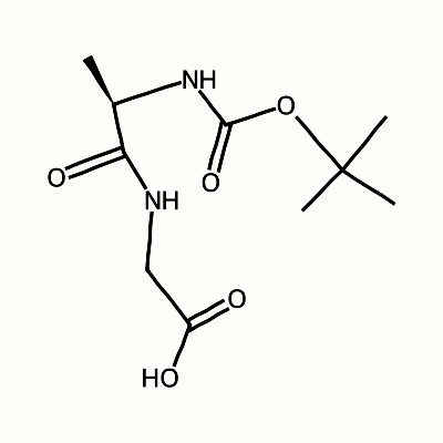 C[C@@H](NC(=O)OC(C)(C)C)C(=O)NCC(=O)O